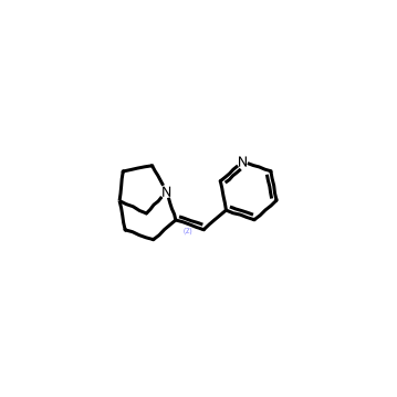 C(=C1\CCC2CCN1C2)/c1cccnc1